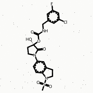 CS(=O)(=O)N1CCc2cc(N3CC[C@@](O)(OC(=O)NCc4cc(F)cc(Cl)c4)C3=O)ccc21